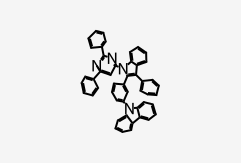 c1ccc(-c2cc(-n3c(-c4cccc(-n5c6ccccc6c6ccccc65)c4)c(-c4ccccc4)c4ccccc43)nc(-c3ccccc3)n2)cc1